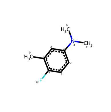 Cc1cc(N(C)C)ccc1F